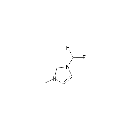 CN1C=CN(C(F)F)C1